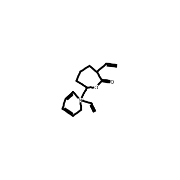 C=CC1CCCC([N+]2(C=C)C=CC=CC2)OC1=O